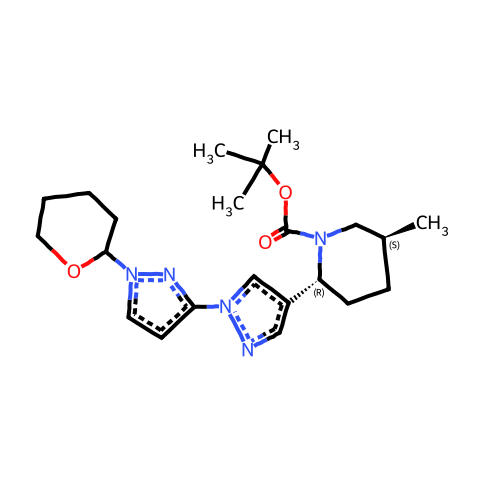 C[C@H]1CC[C@H](c2cnn(-c3ccn(C4CCCCO4)n3)c2)N(C(=O)OC(C)(C)C)C1